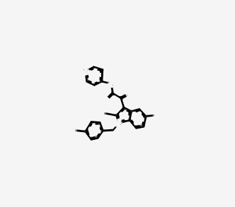 O=C(Nc1ccncc1)C(=O)c1c(Cl)n(Cc2ccc(Cl)cc2)c2ccc(O)cc12